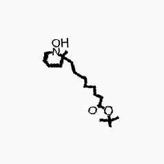 CC(C)(C)OC(=O)CCCCCCCC1(C)C=CC=CN1O